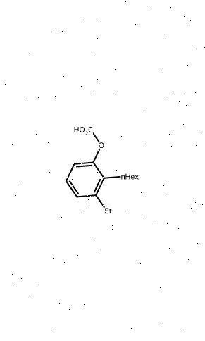 CCCCCCc1c(CC)cccc1OC(=O)O